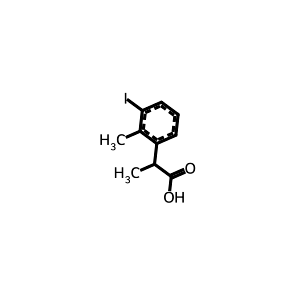 Cc1c(I)cccc1C(C)C(=O)O